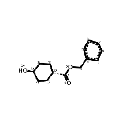 O=C(OCc1ccccc1)[C@H]1CC[C@H](O)CC1